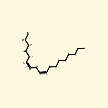 [CH2]CCCCCCC/C=C\C/C=C\CCCCC